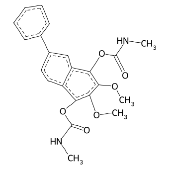 CNC(=O)Oc1c(OC)c(OC)c(OC(=O)NC)c2cc(-c3ccccc3)ccc12